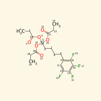 CCC(=O)O[Si](CCCCc1cc(F)c(F)c(F)c1F)(OC(=O)CC)OC(=O)CC